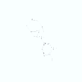 CN1C2CCCC1CN(c1ccc(F)nc1)C2